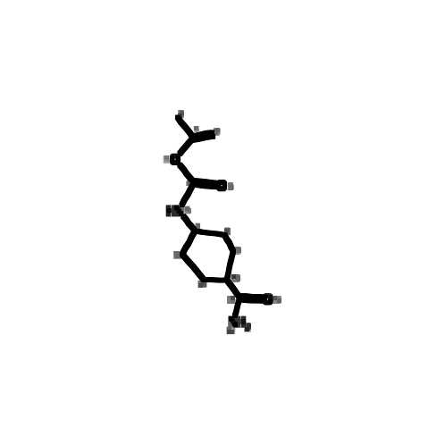 C=C(C)OC(=O)NC1CCC(C(N)=O)CC1